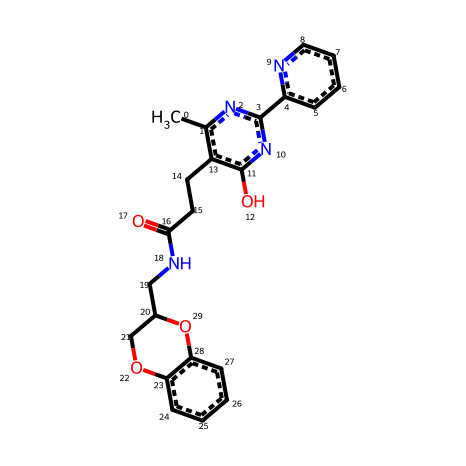 Cc1nc(-c2ccccn2)nc(O)c1CCC(=O)NCC1COc2ccccc2O1